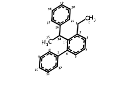 CCc1cccc(-c2ccccc2)c1C(C)c1ccccc1